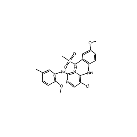 COc1ccc(Nc2nc(Nc3cc(C)ccc3OC)ncc2Cl)c(NS(C)(=O)=O)c1